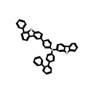 c1ccc(-c2ccccc2-c2ccc(N(c3ccc(-c4ccc5oc6c(-c7ccccc7)cccc6c5c4)cc3)c3ccc4c(c3)oc3ccccc34)cc2)cc1